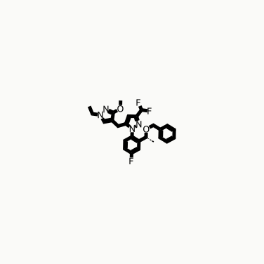 CCn1cc(Cc2cc(C(F)F)nn2-c2ccc(F)cc2[C@@H](C)OCc2ccccc2)c(OC)n1